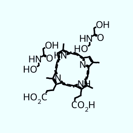 CC1=Cc2cc3[nH]c(cc4nc(cc5[nH]c(cc1n2)c(C)c5CCC(=O)O)C(CCC(=O)O)=C4C)cc3C.O=C(CO)NCO.O=C(CO)NCO